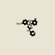 COc1ccc(OC)c(N(CC(=O)Nc2cccnc2)S(=O)(=O)c2cccc(C)c2)c1